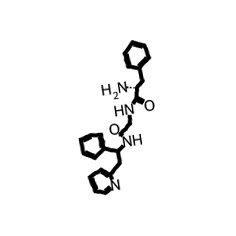 N[C@H](Cc1ccccc1)C(=O)NCC(=O)NC(Cc1ccccn1)c1ccccc1